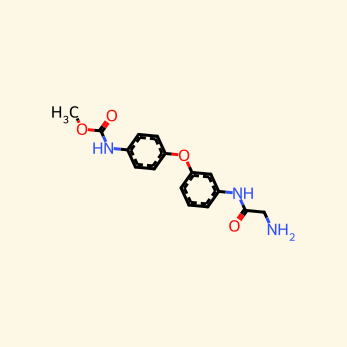 COC(=O)Nc1ccc(Oc2cccc(NC(=O)CN)c2)cc1